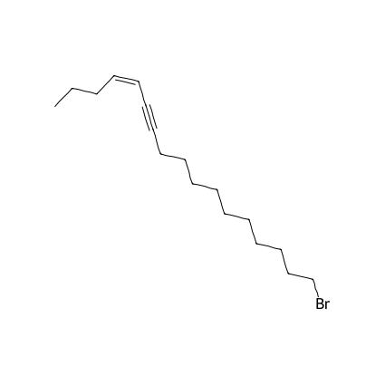 CCC/C=C\C#CCCCCCCCCCCBr